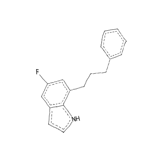 Fc1cc(CCCc2ccccc2)c2[nH]ccc2c1